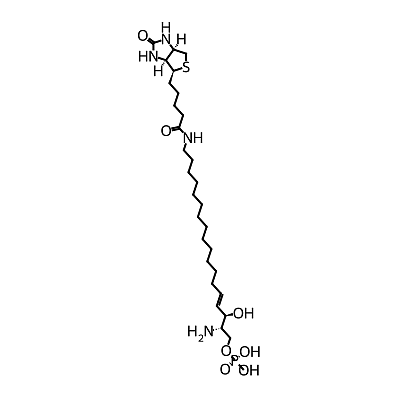 N[C@@H](COP(=O)(O)O)[C@H](O)/C=C/CCCCCCCCCCCCCNC(=O)CCCC[C@@H]1SC[C@@H]2NC(=O)N[C@@H]21